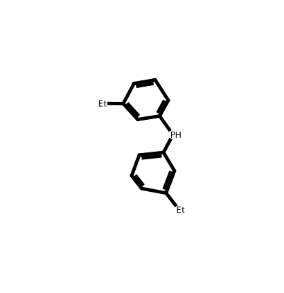 CCc1cccc(Pc2cccc(CC)c2)c1